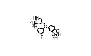 [2H]C1([2H])Oc2ccc(OCC3CNCC([2H])([2H])[C@H]3c3ccc(F)cc3)cc2O1